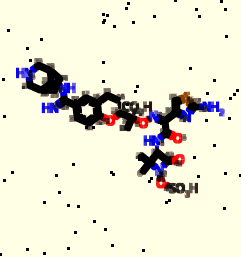 CC1(C)[C@H](NC(=O)/C(=N\O[C@](C)(C(=O)O)[C@H]2CCc3cc(C(=N)NC4C5CCC4CNC5)ccc3O2)c2csc(N)n2)C(=O)N1OS(=O)(=O)O